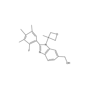 Cc1cc(-c2nc3ccc(CO)cc3n2C2(C)COC2)c(F)c(C)c1C